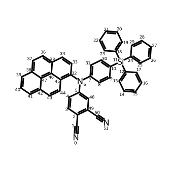 N#Cc1ccc(N(c2ccc([Si](c3ccccc3)(c3ccccc3)c3ccccc3)cc2)c2ccc3ccc4cccc5ccc2c3c45)cc1C#N